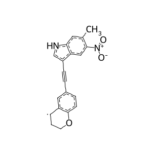 Cc1cc2[nH]cc(C#Cc3ccc4c(c3)[CH]CCO4)c2cc1[N+](=O)[O-]